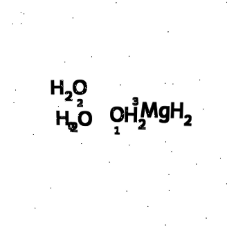 O.O.O.[MgH2]